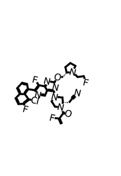 C=C(F)C(=O)N1CCN(c2nc(OC[C@@H]3CCCN3CCF)nc3c(F)c(-c4cccc5ccc(F)c(Cl)c45)ncc23)C[C@@H]1CC#N